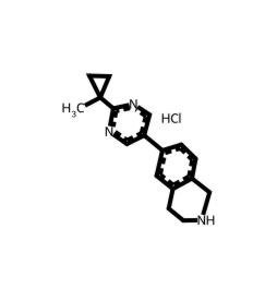 CC1(c2ncc(-c3ccc4c(c3)CCNC4)cn2)CC1.Cl